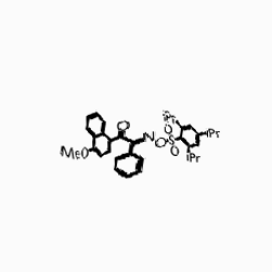 COc1ccc(C(=O)/C(=N/OS(=O)(=O)c2c(C(C)C)cc(C(C)C)cc2C(C)C)c2ccccc2)c2ccccc12